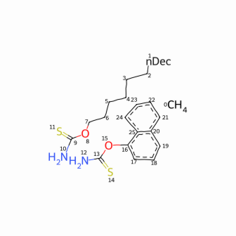 C.CCCCCCCCCCCCCCCCOC(N)=S.NC(=S)Oc1cccc2ccccc12